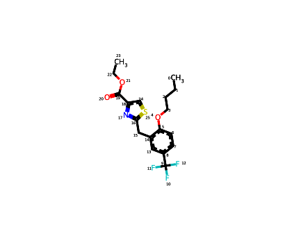 CCCCOc1ccc(C(F)(F)F)cc1Cc1nc(C(=O)OCC)cs1